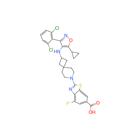 O=C(O)c1cc(F)c2nc(N3CCC4(CC3)CC(Nc3c(-c5c(Cl)cccc5Cl)noc3C3CC3)C4)sc2c1